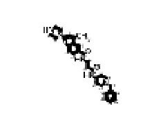 Cc1cc(N2CCNCC2)nc2ccc(C(=O)NCCC(=O)NC3CCN(Cc4ccccc4)CC3)cc12